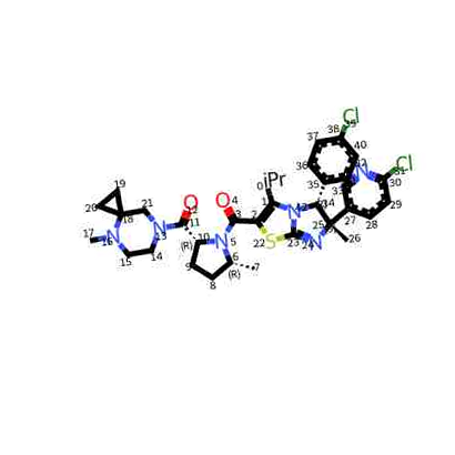 CC(C)C1=C(C(=O)N2[C@H](C)CC[C@@H]2C(=O)N2CCN(C)C3(CC3)C2)SC2=N[C@@](C)(c3ccc(Cl)nc3)[C@@H](c3ccc(Cl)cc3)N21